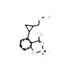 COCC1CC1c1cccc2c1C(N)=NS(=O)(=O)N2